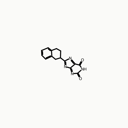 O=C1N=C2N=C(C3CCc4ccccc4C3)N=C2C(=O)N1